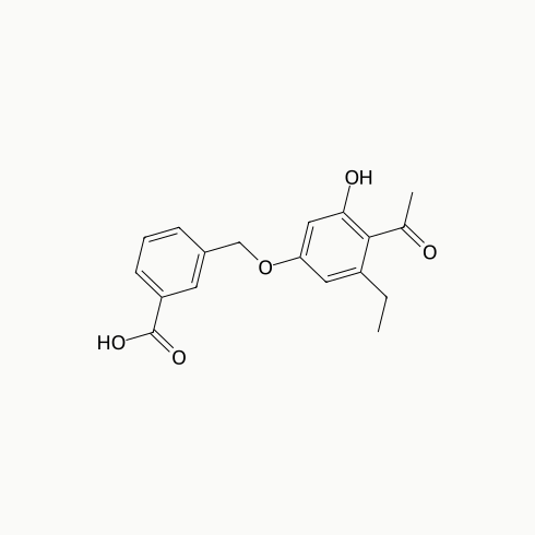 CCc1cc(OCc2cccc(C(=O)O)c2)cc(O)c1C(C)=O